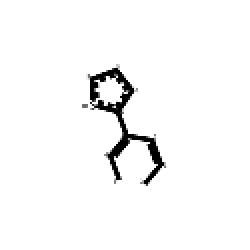 C/C=C\C(=C/C)c1cccs1